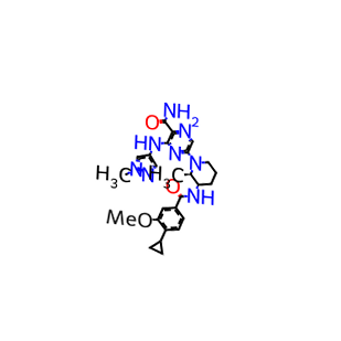 COc1cc(C(=O)N[C@@H]2CCCN(c3cnc(C(N)=O)c(Nc4cnn(C)c4)n3)[C@@H]2C)ccc1C1CC1